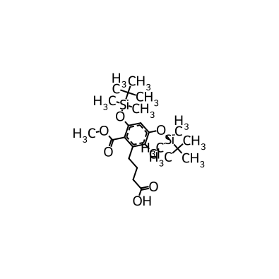 COC(=O)c1c(O[Si](C)(C)C(C)(C)C)cc(O[Si](C)(C)C(C)(C)C)c(Cl)c1CCCC(=O)O